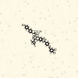 CC(=O)c1ccc(-c2ccc(C[C@H](NC(=O)[C@@H]3Cc4cc5c(cc4CN3C(=O)c3nc(C)oc3C)O[C@@H](c3ccc(OCc4ccc(Cl)c(Cl)c4)cc3)CO5)C(=O)O)cc2)cc1